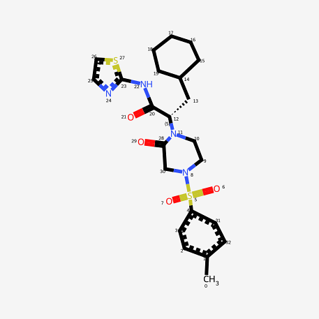 Cc1ccc(S(=O)(=O)N2CCN([C@@H](CC3CCCCC3)C(=O)Nc3nccs3)C(=O)C2)cc1